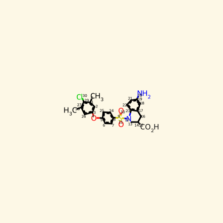 Cc1cc(Oc2ccc(S(=O)(=O)N3CC(C(=O)O)Cc4cc(N)ccc43)cc2)cc(C)c1Cl